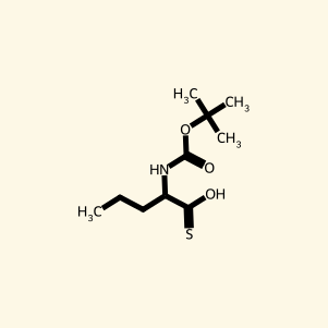 CCCC(NC(=O)OC(C)(C)C)C(O)=S